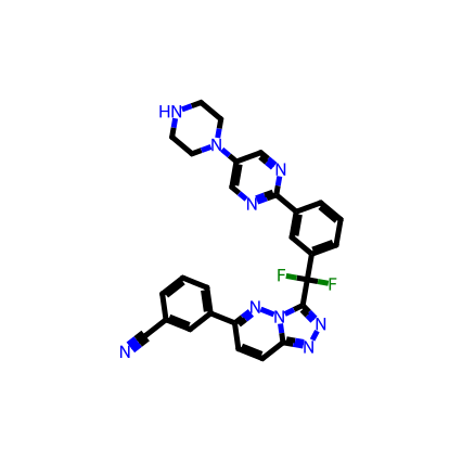 N#Cc1cccc(-c2ccc3nnc(C(F)(F)c4cccc(-c5ncc(N6CCNCC6)cn5)c4)n3n2)c1